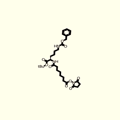 CC(C)(C)OC(=O)[C@@H](CCCCNC(=O)OCc1ccccc1)NC(=O)CCCCCCC(=O)ON1C(=O)CCC1=O